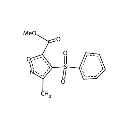 COC(=O)c1onc(C)c1S(=O)(=O)c1ccccc1